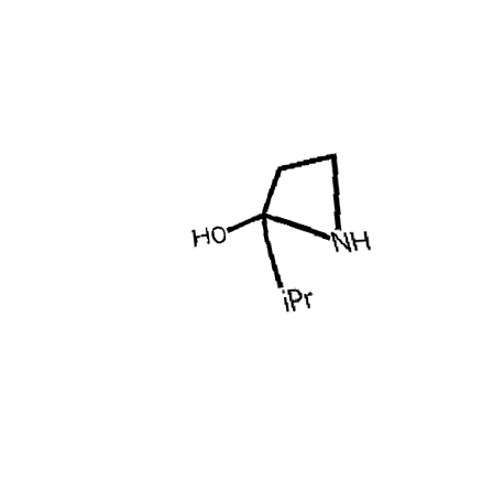 CC(C)C1(O)CCN1